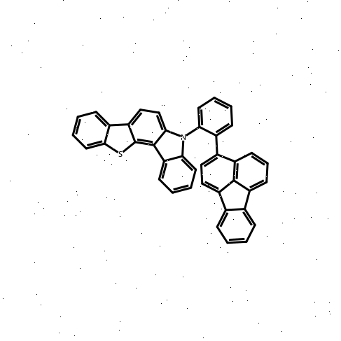 c1ccc2c(c1)-c1cccc3c(-c4ccccc4-n4c5ccccc5c5c6sc7ccccc7c6ccc54)ccc-2c13